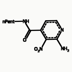 CCCCCNC(=O)c1ccnc(N)c1[N+](=O)[O-]